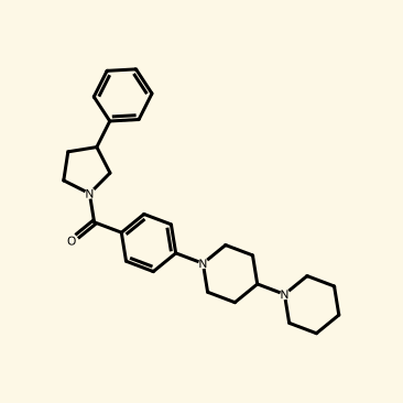 O=C(c1ccc(N2CCC(N3CCCCC3)CC2)cc1)N1CCC(c2ccccc2)C1